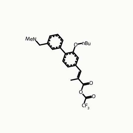 CCCCOc1cc(/C=C(\C)C(=O)OC(=O)C(F)(F)F)ccc1-c1cccc(CNC)c1